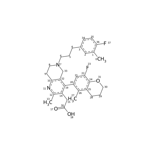 Cc1cc(CCCN2CCc3nc(C)c(CC(=O)O)c(-c4cc(F)c5c(c4C)CCCO5)c3C2)ccc1F